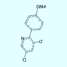 COc1ccc(-c2ncc(Cl)cc2Cl)cc1